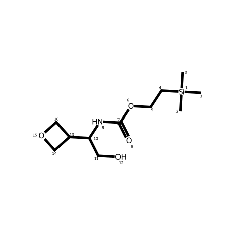 C[Si](C)(C)CCOC(=O)NC(CO)C1COC1